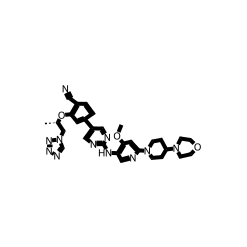 COc1cc(N2CCC(N3CCOCC3)CC2)ncc1Nc1ncc(-c2ccc(C#N)c(O[C@@H](C)Cn3cnnn3)c2)cn1